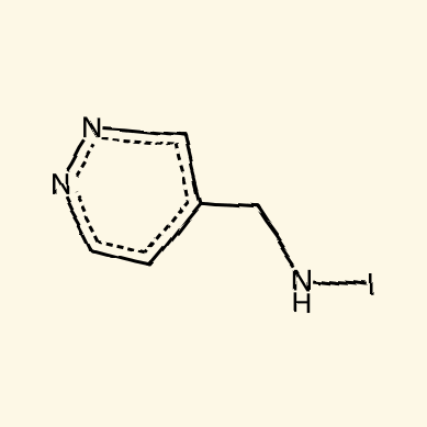 INCc1ccnnc1